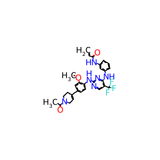 C=CC(=O)Nc1cccc(Nc2nc(Nc3ccc(C4=CCN(C(C)=O)CC4)cc3OC)ncc2C(F)(F)F)c1